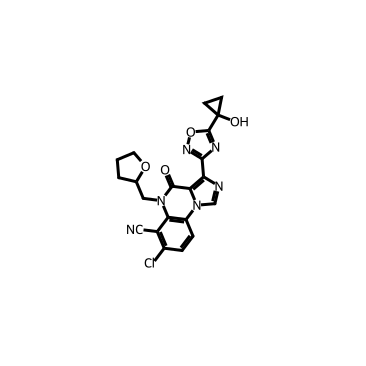 N#Cc1c(Cl)ccc2c1n(CC1CCCO1)c(=O)c1c(-c3noc(C4(O)CC4)n3)ncn12